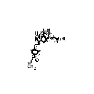 C=CCOC(=O)c1ccc(OCC(=NO)c2ccc(NCCC(C)=O)c(C(C)(C)C)c2)cc1